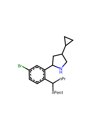 CCCCCC(CCC)c1ccc(Br)cc1C1CC(C2CC2)CN1